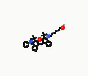 COCCCCCCN1CC(C)(C)c2c3c(c4ccccc4c21)C=C1C(=C2C(C)(C)CN(c4ccccc4)C2(C)c2ccccc21)O3